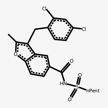 CCCCCS(=O)(=O)NC(=O)c1ccc2oc(C)c(Cc3ccc(Cl)cc3Cl)c2c1